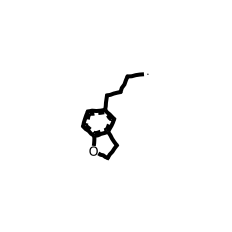 [CH2]CCCc1ccc2c(c1)CCO2